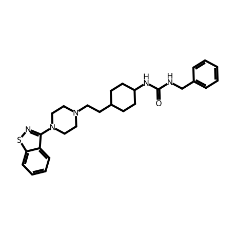 O=C(NCc1ccccc1)NC1CCC(CCN2CCN(c3nsc4ccccc34)CC2)CC1